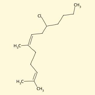 CCCCC(Cl)CC=C(C)CCC=C(C)C